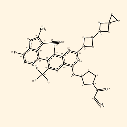 C=CC(=O)N1CCC(Oc2nc(N3CC(N4CC5(CC5)C4)C3)nc3c(F)c(-c4ccc(F)c5sc(N)c(C#N)c45)c(C(F)(F)F)cc23)C1